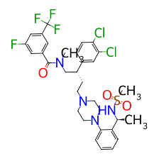 C[C@H](NS(C)(=O)=O)c1ccccc1N1CCN(CC[C@H](CN(C)C(=O)c2cc(F)cc(C(F)(F)F)c2)c2ccc(Cl)c(Cl)c2)CC1